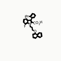 CC(C)c1ccccc1-c1c(C(=O)O)n(CCCOc2cccc3ccccc23)c2c(F)cccc12